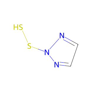 SSn1nccn1